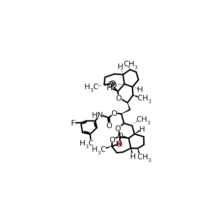 Cc1cc(F)cc(NC(=O)O[C@@H](C[C@H]2O[C@@H]3O[C@]4(C)CC[C@H]5[C@H](C)CC[C@@H]([C@H]2C)[C@@]35OO4)C2O[C@@H]3O[C@]4(C)CC[C@H]5[C@H](C)CC[C@@H]([C@H]2C)[C@@]35OO4)c1